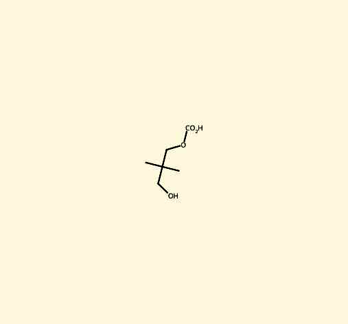 CC(C)(CO)COC(=O)O